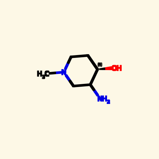 CN1CC[C@H](O)C(N)C1